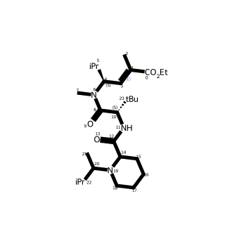 CCOC(=O)/C(C)=C/[C@H](C(C)C)N(C)C(=O)[C@@H](NC(=O)C1CCCCN1C(C)C(C)C)C(C)(C)C